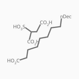 CCCCCCCCCCCCCCCCCC(=O)O.O=C(O)CC(C(=O)O)S(=O)(=O)O